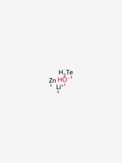 [Li+].[OH-].[TeH2].[Zn]